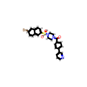 O=C(c1ccc(-c2cccnc2)cc1)N1CCN(S(=O)(=O)c2ccc3cc(Br)ccc3c2)CC1